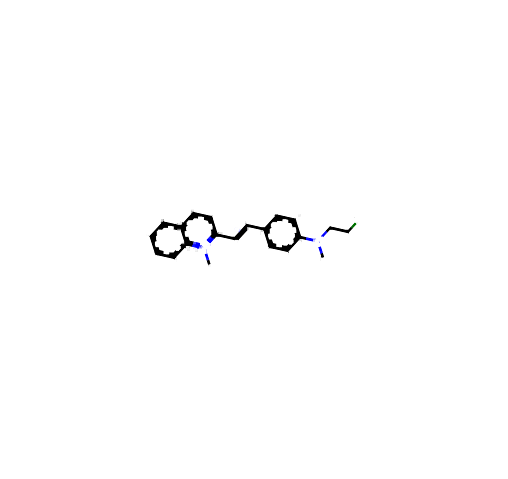 CN(CCCl)c1ccc(/C=C/c2ccc3ccccc3[n+]2C)cc1